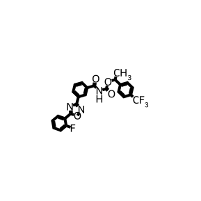 CC(OC(=O)NC(=O)c1cccc(-c2noc(-c3ccccc3F)n2)c1)c1ccc(C(F)(F)F)cc1